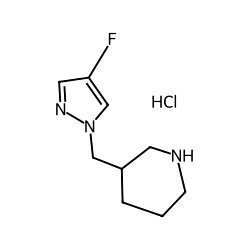 Cl.Fc1cnn(CC2CCCNC2)c1